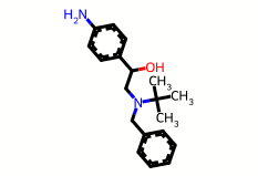 CC(C)(C)N(Cc1ccccc1)CC(O)c1ccc(N)cc1